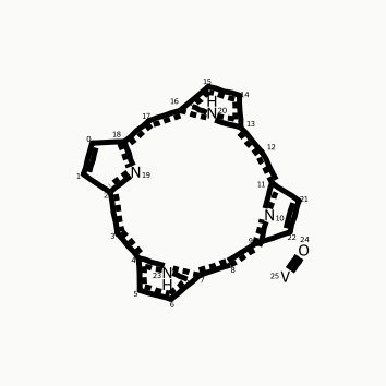 C1=Cc2cc3ccc(cc4nc(cc5ccc(cc1n2)[nH]5)C=C4)[nH]3.[O]=[V]